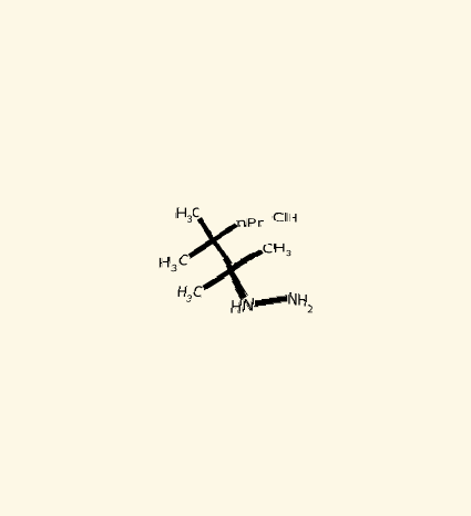 CCCC(C)(C)C(C)(C)NN.Cl